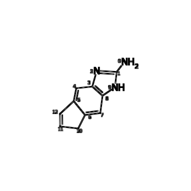 Nc1nc2cc3c(cc2[nH]1)CC=C3